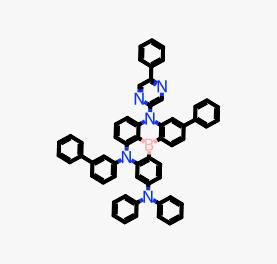 c1ccc(-c2cccc(N3c4cc(N(c5ccccc5)c5ccccc5)ccc4B4c5ccc(-c6ccccc6)cc5N(c5cnc(-c6ccccc6)cn5)c5cccc3c54)c2)cc1